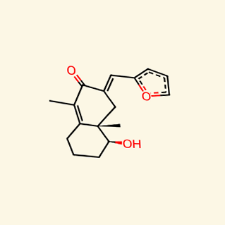 CC1=C2CCC[C@H](O)[C@@]2(C)CC(=Cc2ccco2)C1=O